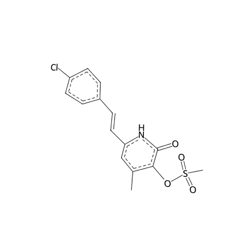 Cc1cc(C=Cc2ccc(Cl)cc2)[nH]c(=O)c1OS(C)(=O)=O